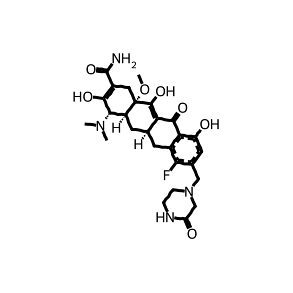 CO[C@@]12CC(C(N)=O)=C(O)[C@@H](N(C)C)[C@@H]1C[C@@H]1Cc3c(F)c(CN4CCNC(=O)C4)cc(O)c3C(=O)C1=C2O